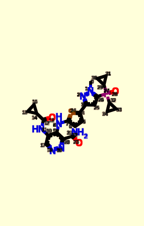 Cn1nc(-c2ccc(Nc3c(NC(=O)C4CC4)cnnc3C(N)=O)s2)cc1P(=O)(C1CC1)C1CC1